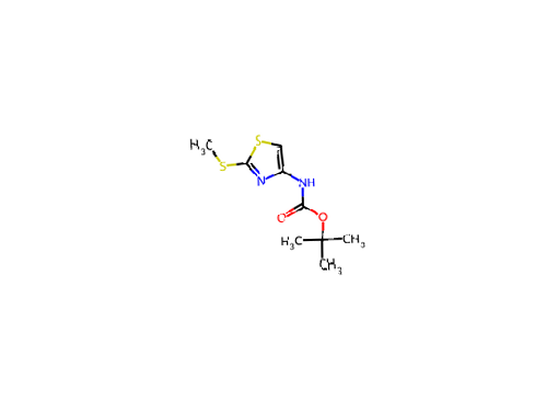 CSc1nc(NC(=O)OC(C)(C)C)cs1